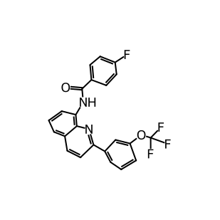 O=C(Nc1cccc2ccc(-c3cccc(OC(F)(F)F)c3)nc12)c1ccc(F)cc1